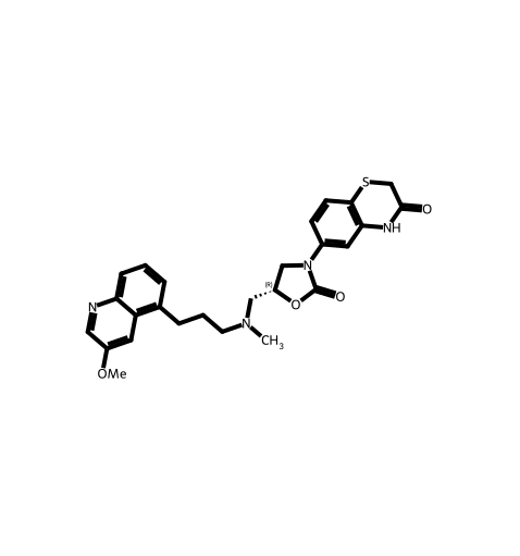 COc1cnc2cccc(CCCN(C)C[C@@H]3CN(c4ccc5c(c4)NC(=O)CS5)C(=O)O3)c2c1